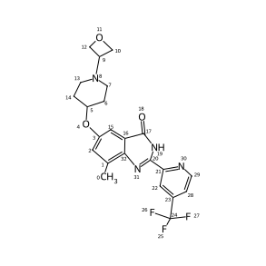 Cc1cc(OC2CCN(C3COC3)CC2)cc2c(=O)[nH]c(-c3cc(C(F)(F)F)ccn3)nc12